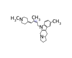 C/C(C=C1CCN(C)CC1)=C/Cn1c2c(c3cc(C)ccc31)CC1CCCN1C2